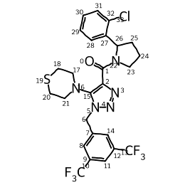 O=C(c1nnn(Cc2cc(C(F)(F)F)cc(C(F)(F)F)c2)c1N1CCSCC1)N1CCCC1c1ccccc1Cl